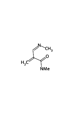 C=C(/C=N\C)C(=O)NC